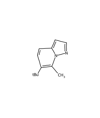 Cc1c(C(C)(C)C)ccc2ccnn12